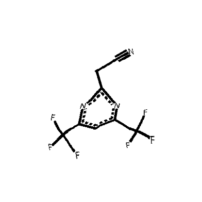 N#CCc1nc(C(F)(F)F)cc(C(F)(F)F)n1